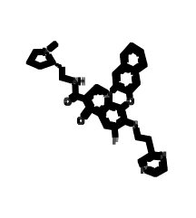 CN1CCC[C@H]1CCNC(=O)c1cn2c3c(c(SCCc4cnccn4)c(F)cc3c1=O)Oc1cc3ccccc3cc1-2